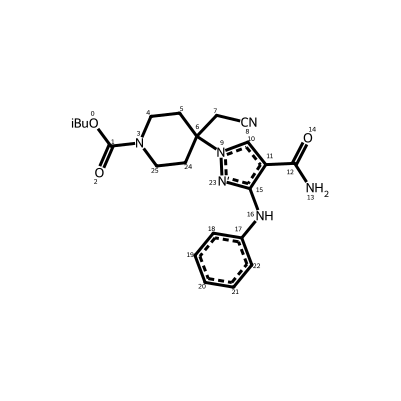 CC(C)COC(=O)N1CCC(CC#N)(n2cc(C(N)=O)c(Nc3ccccc3)n2)CC1